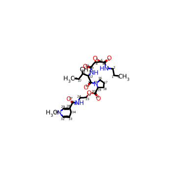 CCCNC(=O)C1OC1C(=O)NC(C(=O)N1CCCC1C(=O)OCCNC(=O)C1=CN(C)C=CC1)C(C)CC